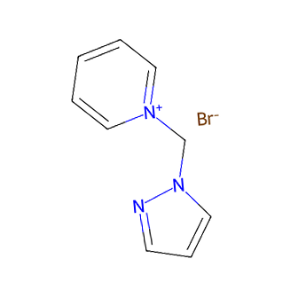 [Br-].c1cc[n+](Cn2cccn2)cc1